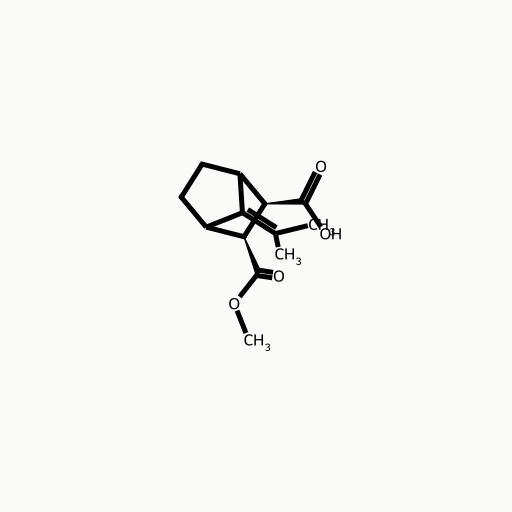 COC(=O)[C@H]1C2CCC(C2=C(C)C)[C@H]1C(=O)O